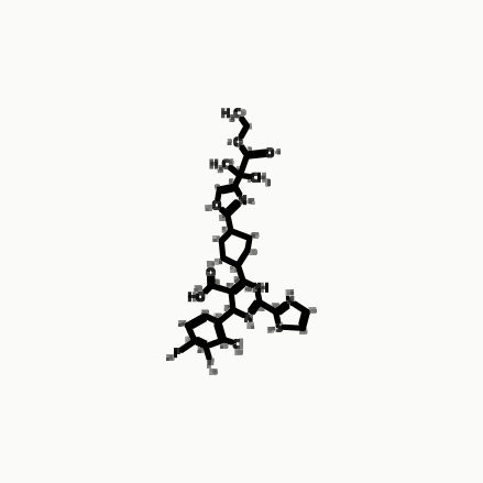 CCOC(=O)C(C)(C)c1coc(C2CCC(C3=C(C(=O)O)C(c4ccc(F)c(F)c4Cl)N=C(c4nccs4)N3)CC2)n1